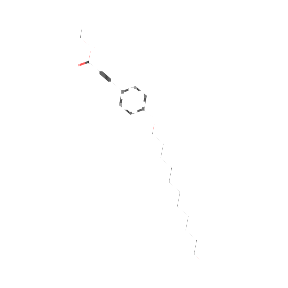 CCOC(=O)C#Cc1ccc(OCCCCCCCCCCCO)cc1